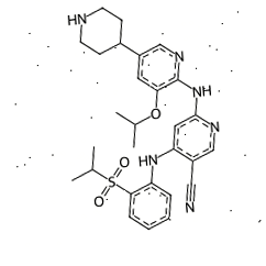 CC(C)Oc1cc(C2CCNCC2)cnc1Nc1cc(Nc2ccccc2S(=O)(=O)C(C)C)c(C#N)cn1